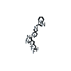 FC(F)(F)Cc1cc2c(N3CCC4(CN(Cc5cnc6ccccn56)C4)C3)ncnc2s1